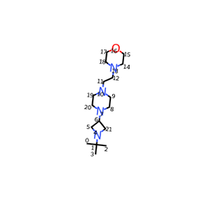 CC(C)(C)N1CC(N2CCN(CCN3CCOCC3)CC2)C1